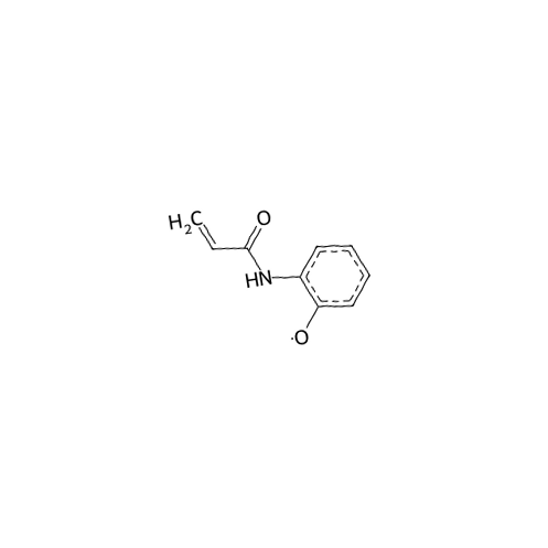 C=CC(=O)Nc1ccccc1[O]